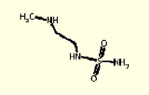 CNCCNS(N)(=O)=O